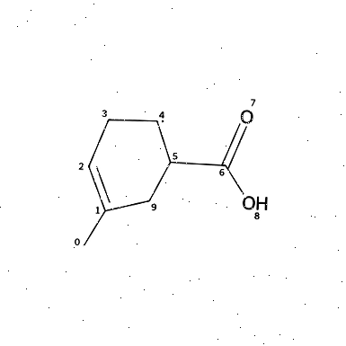 CC1=CC[CH]C(C(=O)O)C1